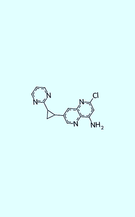 Nc1cc(Cl)nc2cc(C3CC3c3ncccn3)cnc12